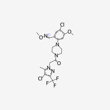 CO/N=C/c1cc(Cl)c(OC)cc1N1CCN(C(=O)Cn2nc(C(F)(F)F)c(Cl)c2C)CC1